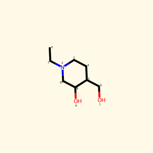 CCN1CCC(CO)C(O)C1